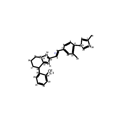 Cc1cn(-c2ccc(/C=C/c3nc4n(n3)CCCC4c3ccccc3C(F)(F)F)cc2C)cn1